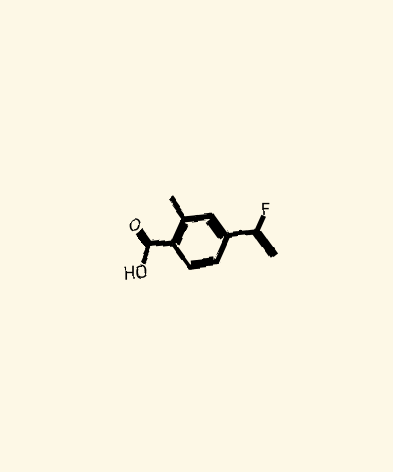 C=C(F)c1ccc(C(=O)O)c(C)c1